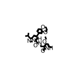 CCOc1cc(C)[nH]c(=O)c1CNC(=O)c1cc(-c2ccc3c(c2)OCCO3)cc2c(C(C)C)ncn12